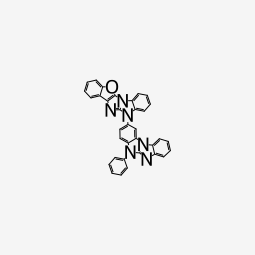 c1ccc(-n2c3ccc(-n4c5ccccc5n5c6oc7ccccc7c6nc45)cc3n3c4ccccc4nc23)cc1